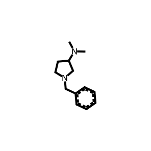 CN(C)C1CCN(Cc2ccccc2)C1